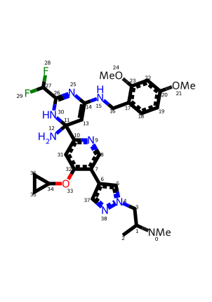 CNC(C)Cn1cc(-c2cnc(C3(N)C=C(NCc4ccc(OC)cc4OC)N=C(C(F)F)N3)cc2OC2CC2)cn1